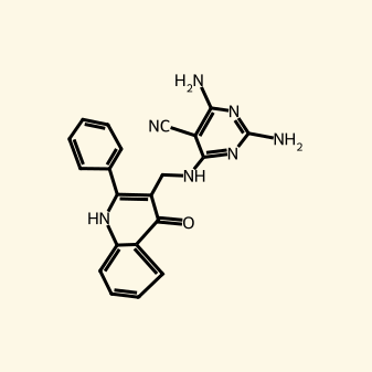 N#Cc1c(N)nc(N)nc1NCc1c(-c2ccccc2)[nH]c2ccccc2c1=O